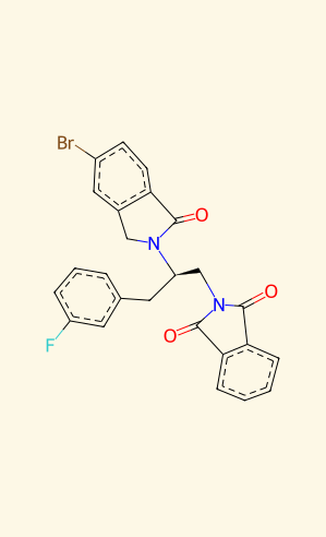 O=C1c2ccccc2C(=O)N1C[C@@H](Cc1cccc(F)c1)N1Cc2cc(Br)ccc2C1=O